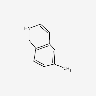 Cc1ccc2c(c1)C=CNC2